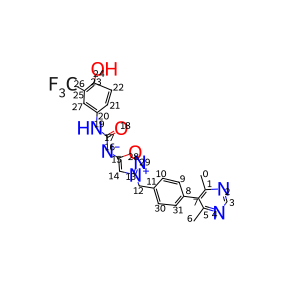 Cc1ncnc(C)c1-c1ccc(C[n+]2cc([N-]C(=O)Nc3ccc(O)c(C(F)(F)F)c3)on2)cc1